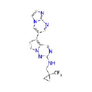 FC(F)(F)C1(CNc2ncc3c(-c4cnc5nccn5c4)ccn3n2)CC1